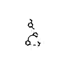 O=C(Nc1ccc2cc1CCc1cccc(c1)Nc1ncc(Cl)c(n1)N2)c1ccc2occc2c1